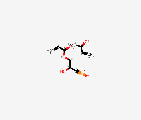 C=CC(=O)OC.C=CC(=O)OCC(O)C#P=O